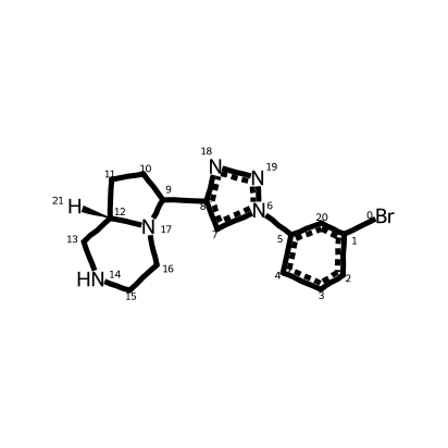 Brc1cccc(-n2cc(C3CC[C@H]4CNCCN34)nn2)c1